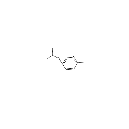 Cc1ccc2c(n1)N2C(C)C